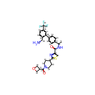 C[C@@H](NC(=O)c1csc(C2CCN(C(=O)C3COC3)CC2)n1)c1ccc(-c2cc(C(F)(F)F)ccc2CN)cc1